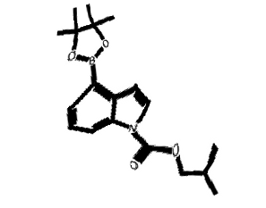 CC(C)COC(=O)n1ccc2c(B3OC(C)(C)C(C)(C)O3)cccc21